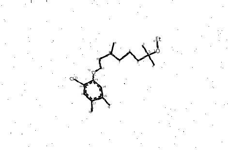 CCOC(C)(C)CCCC(C)CCOc1cc(C)c(C)cc1Cl